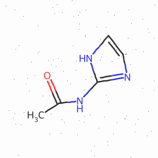 CC(=O)Nc1n[c]c[nH]1